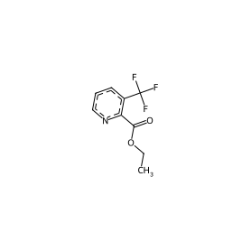 CCOC(=O)c1ncccc1C(F)(F)F